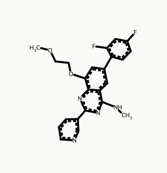 CNc1nc(-c2cccnc2)nc2c(OCCOC)cc(-c3ccc(F)cc3F)cc12